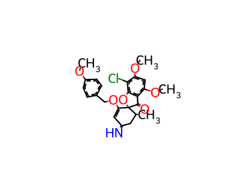 COc1ccc(COC2=CC(=N)C[C@@H](C)[C@]23Oc2c(Cl)c(OC)cc(OC)c2C3=O)cc1